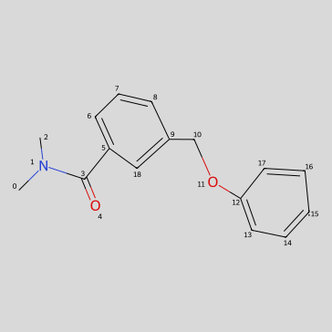 CN(C)C(=O)c1cccc(COc2cc[c]cc2)c1